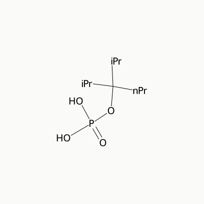 CCCC(OP(=O)(O)O)(C(C)C)C(C)C